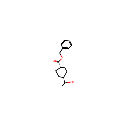 CC(O)[C@H]1CC[C@H](C(=O)OCc2ccccc2)CC1